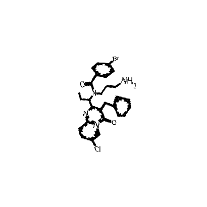 CCC(c1nc2ccc(Cl)cn2c(=O)c1Cc1ccccc1)N(CCCN)C(=O)c1ccc(Br)cc1